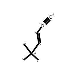 [C-]#[N+]C=CC(C)(C)C